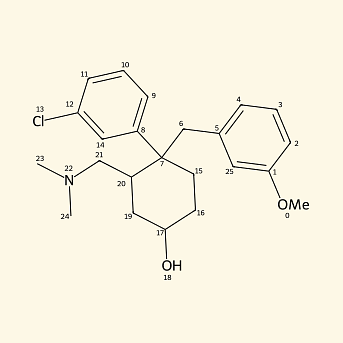 COc1cccc(CC2(c3cccc(Cl)c3)CCC(O)CC2CN(C)C)c1